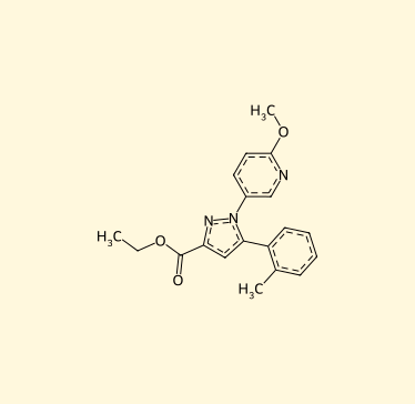 CCOC(=O)c1cc(-c2ccccc2C)n(-c2ccc(OC)nc2)n1